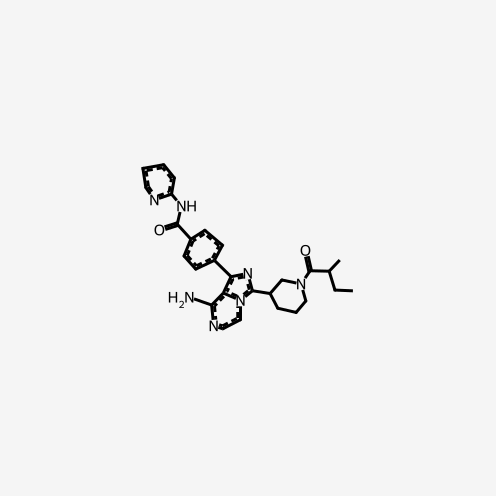 CCC(C)C(=O)N1CCCC(c2nc(-c3ccc(C(=O)Nc4ccccn4)cc3)c3c(N)nccn23)C1